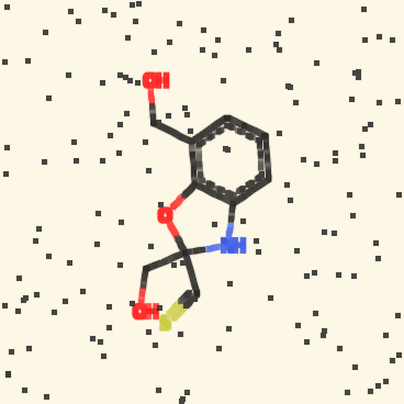 OCc1cccc2c1OC(C=S)(CO)N2